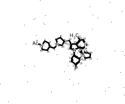 CC(=O)N1CCC(CN2CC[C@@H](Cc3cn(-c4ccc(F)cc4[S@@]4(=O)=NCCC4)c4cncc(C)c34)C2)CC1